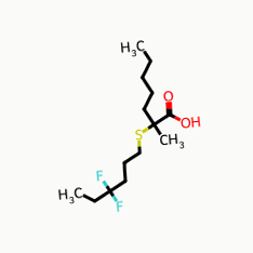 CCCCCC(C)(SCCCC(F)(F)CC)C(=O)O